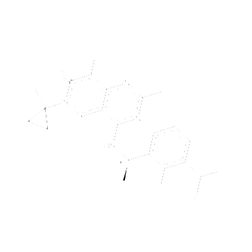 Cc1nc(N[C@H](C)c2cccc(C(F)F)c2F)c2cn(C3(C)CC3)c(=O)c(F)c2n1